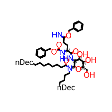 CCCCCCCCCCCCCCCCCC(=O)N(CCCCCCCCCCCCCC)[C@@H]1O[C@H](CO)[C@@H](O)[C@H](O)[C@H]1NC(=O)[C@H](CCC(=N)OCc1ccccc1)NC(=O)OCc1ccccc1